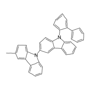 Cc1ccc2c(c1)c1ccccc1n2-c1ccc2c(c1)c1ccccc1n2-c1ccccc1-c1ccccc1